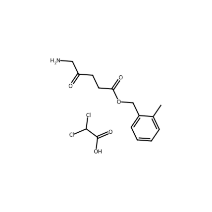 Cc1ccccc1COC(=O)CCC(=O)CN.O=C(O)C(Cl)Cl